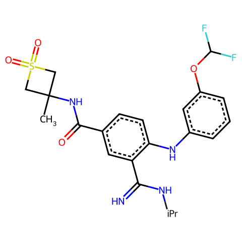 CC(C)NC(=N)c1cc(C(=O)NC2(C)CS(=O)(=O)C2)ccc1Nc1cccc(OC(F)F)c1